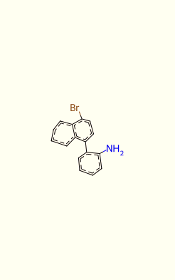 Nc1ccccc1-c1ccc(Br)c2ccccc12